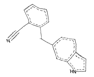 N#Cc1ccccc1[CH]c1ccc2cc[nH]c2c1